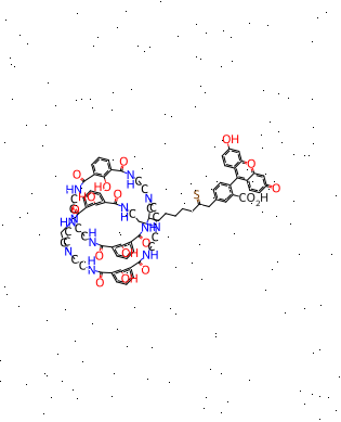 O=C(O)c1cc(CC(=S)CCCCCC2CN3CCNC(=O)c4cccc(c4O)C(=O)NCCN(CCNC(=O)c4cccc(c4O)C(=O)N2)CCN2CCNC(=O)c4cccc(c4O)C(=O)NCCN(CCNC(=O)c4cccc(c4O)C(=O)NCC2)CC3)ccc1-c1c2ccc(=O)cc-2oc2cc(O)ccc12